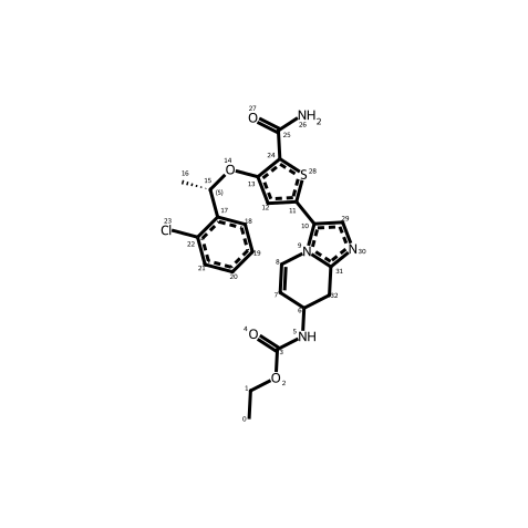 CCOC(=O)NC1C=Cn2c(-c3cc(O[C@@H](C)c4ccccc4Cl)c(C(N)=O)s3)cnc2C1